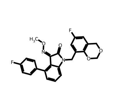 CO/N=C1\C(=O)N(Cc2cc(F)cc3c2OCOC3)c2cccc(-c3ccc(F)cc3)c21